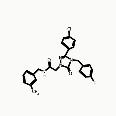 O=C(Cn1nc(-c2ccc(Cl)cc2)n(Cc2ccc(F)cc2)c1=O)NCc1cccc(C(F)(F)F)c1